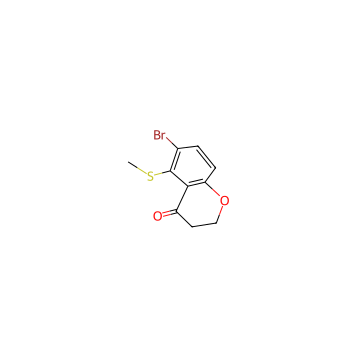 CSc1c(Br)ccc2c1C(=O)CCO2